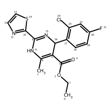 CCOC(=O)C1=C(C)NC(c2nccs2)=NC1c1ccc(F)cc1Cl